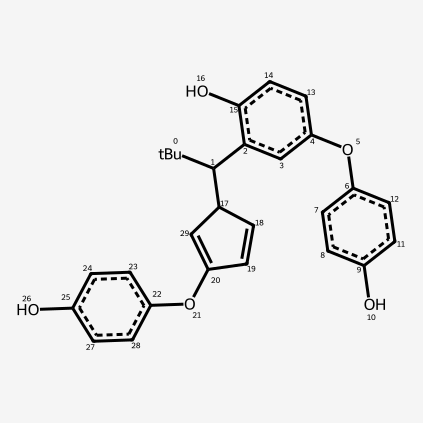 CC(C)(C)C(c1cc(Oc2ccc(O)cc2)ccc1O)C1C=CC(Oc2ccc(O)cc2)=C1